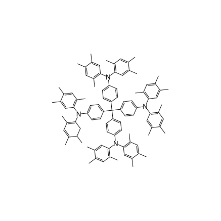 CC1=CC(C)=C(N(c2ccc(C(c3ccc(N(c4cc(C)c(C)cc4C)c4cc(C)c(C)cc4C)cc3)(c3ccc(N(c4cc(C)c(C)cc4C)c4cc(C)c(C)cc4C)cc3)c3ccc(N(c4cc(C)c(C)cc4C)c4cc(C)c(C)cc4C)cc3)cc2)c2cc(C)c(C)cc2C)CC1C